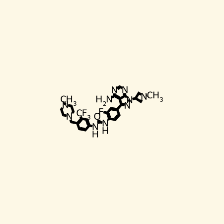 CN1CCN(Cc2ccc(NC(=O)Nc3ccc(-c4nn(C5CN(C)C5)c5ncnc(N)c45)cc3F)cc2C(F)(F)F)CC1